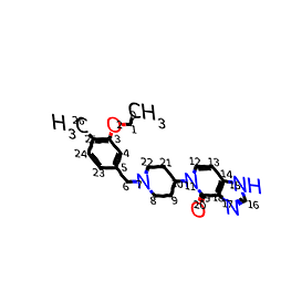 CCOc1cc(CN2CCC(n3ccc4[nH]cnc4c3=O)CC2)ccc1C